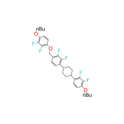 CCCCOc1ccc(OCc2ccc(C3CCC(c4ccc(OCCCC)c(F)c4F)CC3)c(F)c2F)c(F)c1F